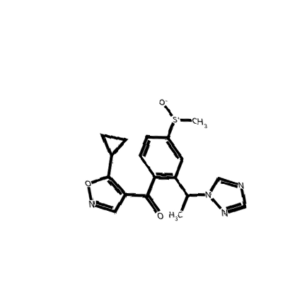 CC(c1cc([S+](C)[O-])ccc1C(=O)c1cnoc1C1CC1)n1cncn1